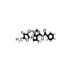 C=C1O[C@@H](n2cc(F)c3c(NC(=O)c4ccccc4)ncnc32)[C@H](O)[C@@H]1F